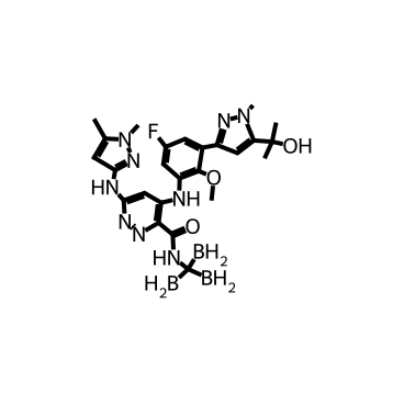 BC(B)(B)NC(=O)c1nnc(Nc2cc(C)n(C)n2)cc1Nc1cc(F)cc(-c2cc(C(C)(C)O)n(C)n2)c1OC